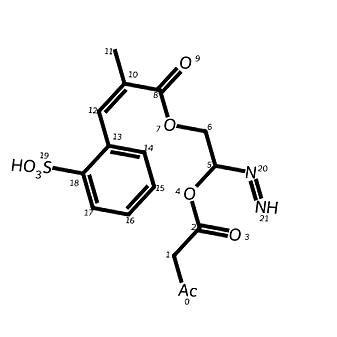 CC(=O)CC(=O)OC(COC(=O)C(C)=Cc1ccccc1S(=O)(=O)O)N=N